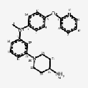 CN(c1ccc(Oc2ccccn2)cc1)c1cccc(N2CCC(N)CC2)c1